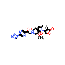 COC1CN(C[C@@H](O)c2cnc(-n3cnnn3)cn2)CCC12CCN(C1=C(C)C(=O)OC1)C2=O